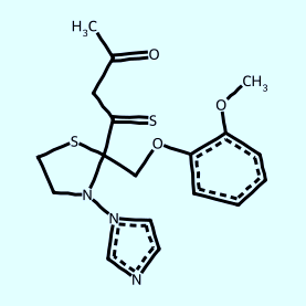 COc1ccccc1OCC1(C(=S)CC(C)=O)SCCN1n1ccnc1